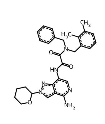 Cc1cccc(CN(Cc2ccccc2)C(=O)C(=O)Nc2cnc(N)c3cn(C4CCCCO4)nc23)c1C